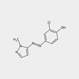 Cn1nccc1/N=N/c1ccc(O)c(Cl)c1